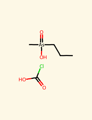 CCC[As](C)(=O)O.O=C(O)Cl